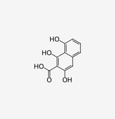 O=C(O)c1c(O)cc2cccc(O)c2c1O